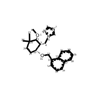 CO[C@@H]1[C@H](Cn2cncn2)[C@H](OCc2cccc3ccccc23)CCC1(C)C